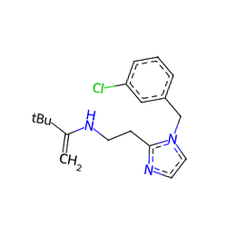 C=C(NCCc1nccn1Cc1cccc(Cl)c1)C(C)(C)C